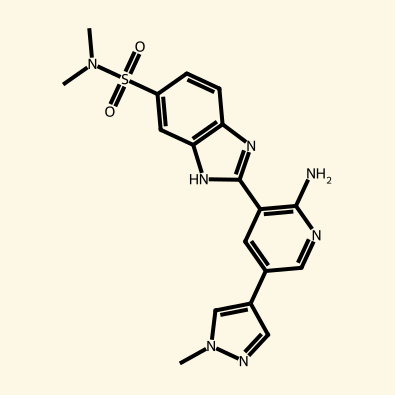 CN(C)S(=O)(=O)c1ccc2nc(-c3cc(-c4cnn(C)c4)cnc3N)[nH]c2c1